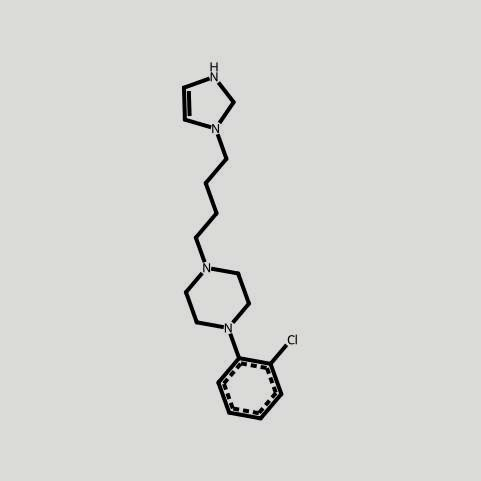 Clc1ccccc1N1CCN(CCCCN2C=CNC2)CC1